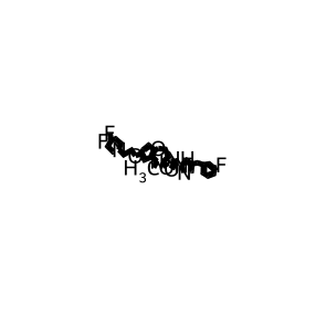 CN1C(=O)[C@@H](NC(=O)n2cc(Cc3cccc(F)c3)cn2)COc2ccc(OCCN3CCC(F)(F)CC3)cc21